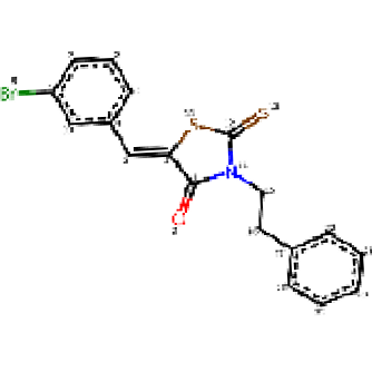 O=C1/C(=C/c2cccc(Br)c2)SC(=S)N1CCc1ccccc1